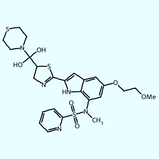 COCCOc1cc(N(C)S(=O)(=O)c2ccccn2)c2[nH]c(C3=NCC(C(O)(O)N4CCSCC4)S3)cc2c1